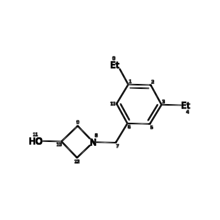 CCc1cc(CC)cc(CN2CC(O)C2)c1